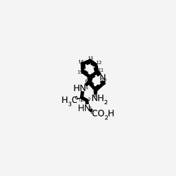 C[C@@H](CNC(=O)O)Nc1c(N)cnc2ccccc12